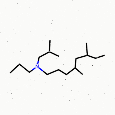 CCCN(CCCC(C)CC(C)CC)CC(C)C